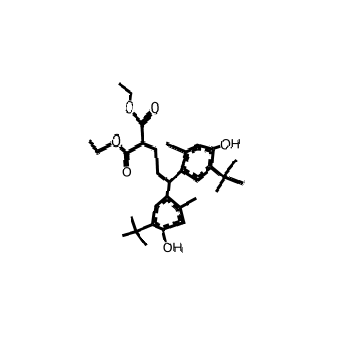 CCOC(=O)C(CCC(c1cc(C(C)(C)C)c(O)cc1C)c1cc(C(C)(C)C)c(O)cc1C)C(=O)OCC